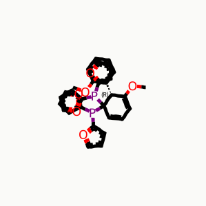 COC1=CC=CC(P(c2ccco2)c2ccco2)(P(c2ccco2)c2ccco2)[C@@H]1c1ccccc1OC